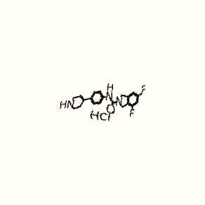 Cl.O=C(Nc1ccc(C2CCNCC2)cc1)N1Cc2cc(F)cc(F)c2C1